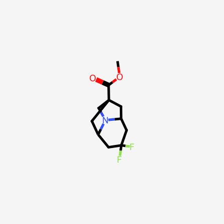 COC(=O)C12CC3CC(F)(F)CC(C1)N3C2